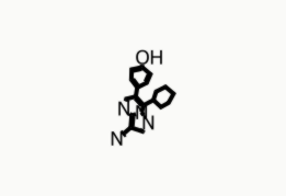 N#Cc1cnn2c(C3CCCCC3)c(-c3ccc(O)cc3)cnc12